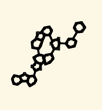 c1ccc(-c2cccc(-c3nc(-c4ccccc4)nc(-c4cccc5oc6ccc(-c7ccc8nc(-c9cccc%10c9oc9ccccc9%10)oc8c7)cc6c45)n3)c2)cc1